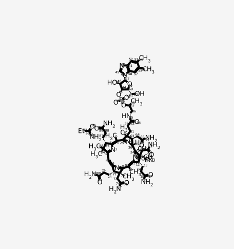 C/C1=C2N=C(/C=C3N=C(/C(C)=C4/[C@@H](CCC(N)=O)[C@](C)(CC(N)=O)[C@](C)([C@@H]5N=C1[C@](C)(CCC(=O)NCC(C)OP(=O)([O-])O[C@H]1[C@@H](O)[C@@H](n6cnc7cc(C)c(C)cc76)O[C@@H]1CO)[C@H]5CC(N)=O)[N]4[Co+][C]#N)[C@@](C)(CC(N)=O)[C@@H]\3CCC(N)=O)C(C)(C)[C@@H]/2CCC(N)=O.CCC(N)=O